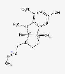 C/C=C/CN1CC[C@@]2(C)c3cc(O)cc([N+](=O)[O-])c3N(C)[C@@H]12